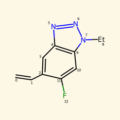 C=Cc1cc2nnn(CC)c2cc1F